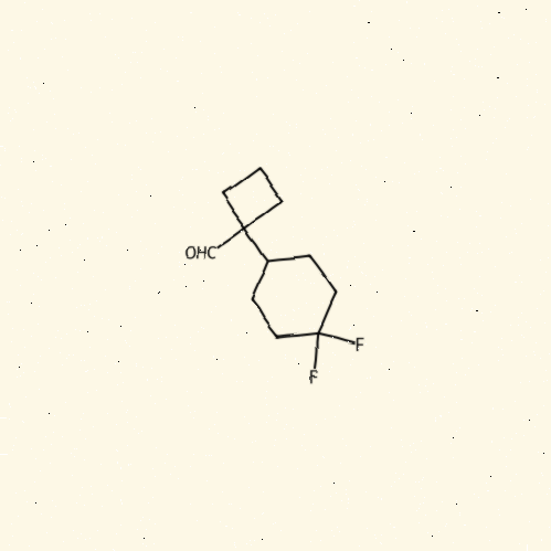 O=CC1(C2CCC(F)(F)CC2)CCC1